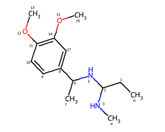 CCC(NC)NC(C)c1ccc(OC)c(OC)c1